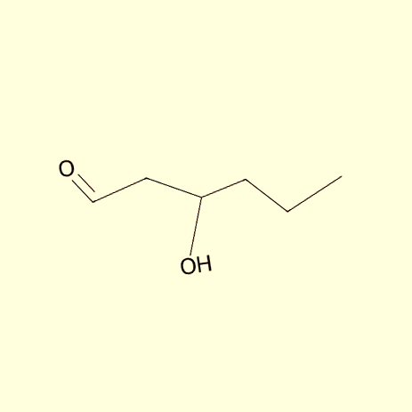 CCCC(O)CC=O